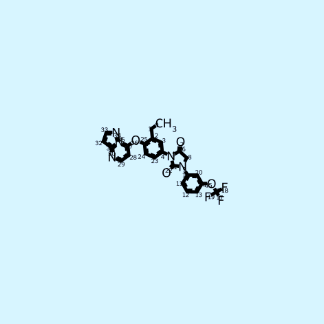 CCc1cc(N2C(=O)CN(c3cccc(OC(F)(F)F)c3)C2=O)ccc1Oc1ccnc2ccnn12